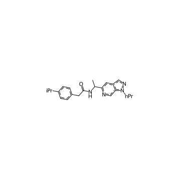 CCCn1ncc2cc(C(C)NC(=O)Cc3ccc(C(C)C)cc3)ncc21